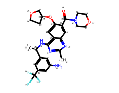 Cc1nc(N[C@H](C)c2cc(N)cc(C(F)(F)F)c2)c2cc(O[C@H]3CCOC3)c(C(=O)N3CCOCC3)cc2n1